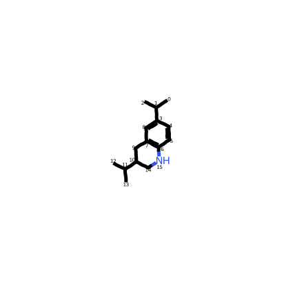 CC(C)c1ccc2c(c1)CC(C(C)C)CN2